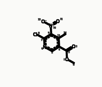 COC(=O)c1cnc(Cl)c([N+](=O)[O-])c1C